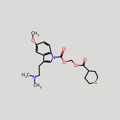 COc1ccc2c(c1)c(CCN(C)C)cn2C(=O)OCOC(=O)C1CCSCC1